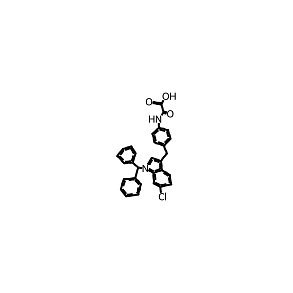 O=C(O)C(=O)Nc1ccc(Cc2cn(C(c3ccccc3)c3ccccc3)c3cc(Cl)ccc23)cc1